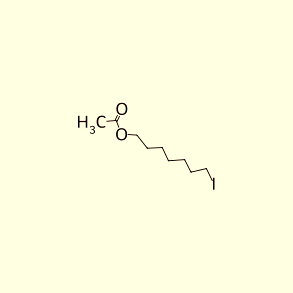 CC(=O)OCCCCCCCI